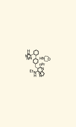 C1COCCN1.CCCc1nc2ccnn2c(NCC)c1Cc1ccc(-c2ccccc2-c2nnn[nH]2)cc1